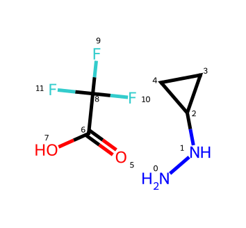 NNC1CC1.O=C(O)C(F)(F)F